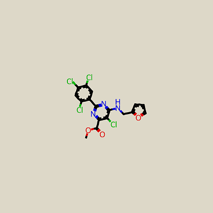 COC(=O)c1nc(-c2cc(Cl)c(Cl)cc2Cl)nc(NCc2ccco2)c1Cl